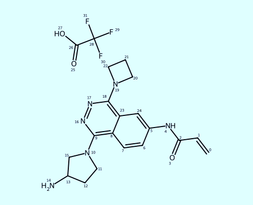 C=CC(=O)Nc1ccc2c(N3CCC(N)C3)nnc(N3CCC3)c2c1.O=C(O)C(F)(F)F